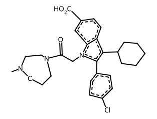 CN1CCCN(C(=O)Cn2c(-c3ccc(Cl)cc3)c(C3CCCCC3)c3ccc(C(=O)O)cc32)CC1